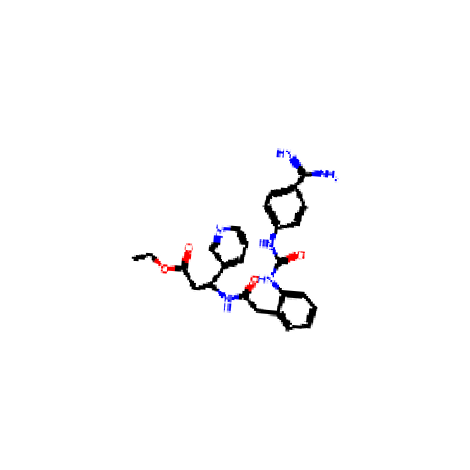 CCOC(=O)CC(NC(=O)Cc1ccccc1NC(=O)Nc1ccc(C(=N)N)cc1)c1cccnc1